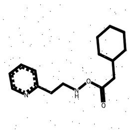 O=C(CC1CCCCC1)ONCCc1ccccn1